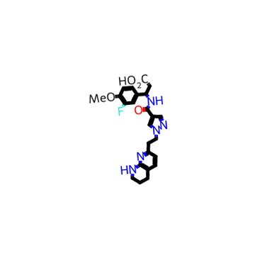 COc1ccc(C(CC(=O)O)NC(=O)c2cnn(CCc3ccc4c(n3)NCCC4)c2)cc1F